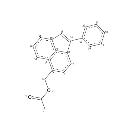 CC(=O)OCc1ccc2c3c(cccc13)C=C2c1ccccc1